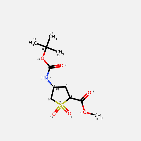 COC(=O)C1C[C@H](NC(=O)OC(C)(C)C)CS1(=O)=O